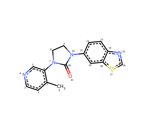 Cc1ccncc1N1CCN(c2ccc3ncsc3c2)C1=O